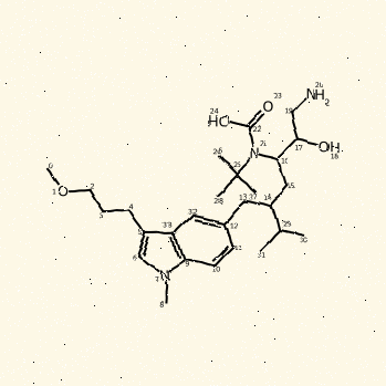 COCCCc1cn(C)c2ccc(CC(CC(C(O)CN)N(C(=O)O)C(C)(C)C)C(C)C)cc12